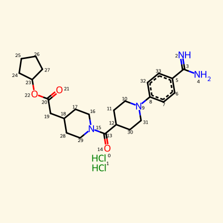 Cl.Cl.N=C(N)c1ccc(N2CCC(C(=O)N3CCC(CC(=O)OC4CCCC4)CC3)CC2)cc1